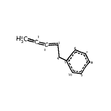 C=C=C=CCc1ccccc1